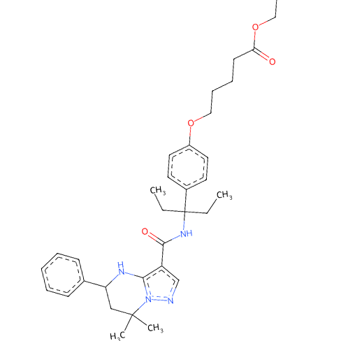 CCOC(=O)CCCCOc1ccc(C(CC)(CC)NC(=O)c2cnn3c2NC(c2ccccc2)CC3(C)C)cc1